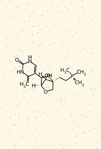 C=C1NC(=O)NC=C1C1O[C@@]2(CCP(=C)(C)C)CO[C@@H]1[C@@H]2O